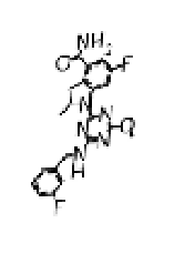 COc1nc(NCc2cccc(F)c2)nc(N2c3cc(F)cc(C(N)=O)c3CC2C)n1